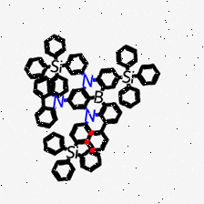 c1ccc(-c2cccc3c2N(c2ccc([Si](c4ccccc4)(c4ccccc4)c4ccccc4)cc2)c2cc(-n4c5ccccc5c5ccccc54)cc4c2B3c2cc([Si](c3ccccc3)(c3ccccc3)c3ccccc3)ccc2N4c2cccc([Si](c3ccccc3)(c3ccccc3)c3ccccc3)c2)cc1